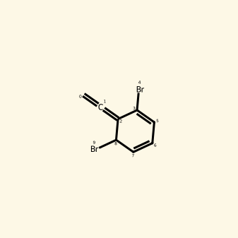 C=C=C1C(Br)=CC=CC1Br